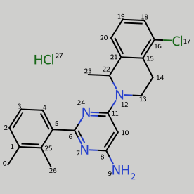 Cc1cccc(-c2nc(N)cc(N3CCc4c(Cl)cccc4C3C)n2)c1C.Cl